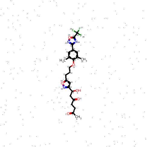 CC(=O)CCC(=O)CC(O)c1cc(CCCOc2c(C)cc(-c3noc(C(F)(F)F)n3)cc2C)on1